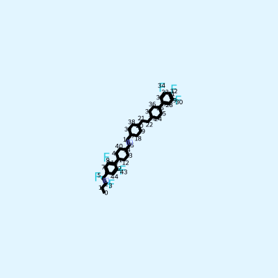 CC/C(F)=C(\F)c1cc(F)c(C2CCC(/C=C/C3CCC(CCC4CCC(c5cc(F)c(F)c(F)c5)CC4)CC3)CC2)c(F)c1